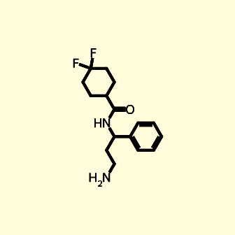 NCCC(NC(=O)C1CCC(F)(F)CC1)c1ccccc1